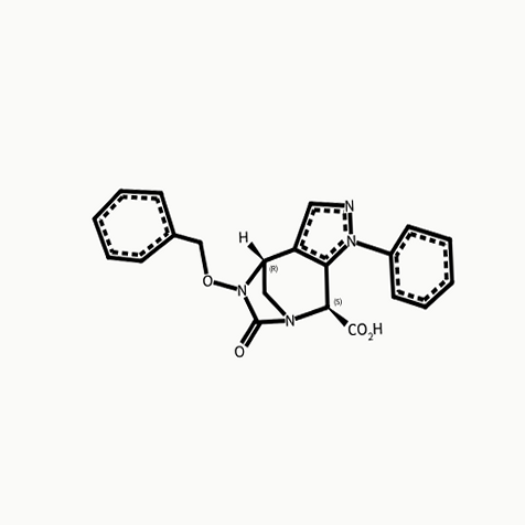 O=C(O)[C@@H]1c2c(cnn2-c2ccccc2)[C@@H]2CN1C(=O)N2OCc1ccccc1